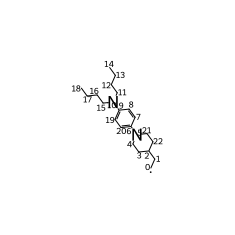 [CH2]CC1CCN(c2ccc(N(CCCC)CCCC)cc2)CC1